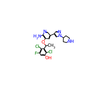 CC(Oc1cc(-c2cnn(C3CCNCC3)c2)cnc1N)c1c(Cl)c(O)cc(F)c1Cl